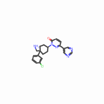 NCC1(c2cccc(Cl)c2)CCC(n2nc(-c3cncnc3)ccc2=O)CC1